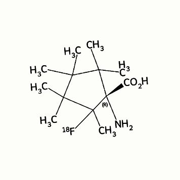 CC1(C)C(C)(C)C(C)([18F])[C@](N)(C(=O)O)C1(C)C